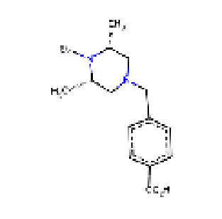 CCN1[C@H](C)CN(Cc2ccc(C(=O)O)cc2)C[C@@H]1C